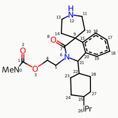 CNC(=O)OCCN1C(=O)C2(CCNCC2)c2ccccc2C1C1CCC(C(C)C)CC1